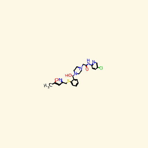 Cc1cc(CSc2ccccc2C(O)N2CCN(CC(=O)Nc3ccc(Cl)cn3)CC2)no1